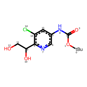 CC(C)(C)OC(=O)Nc1cnc(C(O)CO)c(Cl)c1